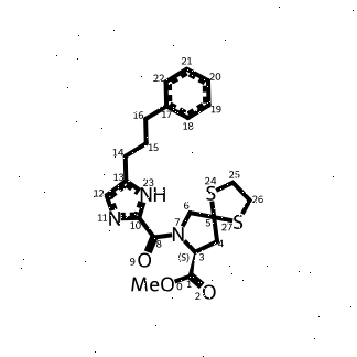 COC(=O)[C@@H]1CC2(CN1C(=O)c1ncc(CCCc3ccccc3)[nH]1)SCCS2